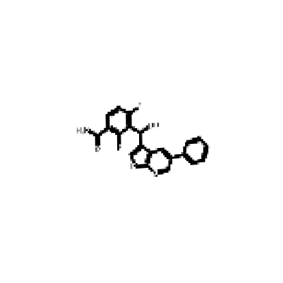 NC(=O)c1ccc(F)c(C(O)c2c[nH]c3ncc(-c4ccccc4)cc23)c1F